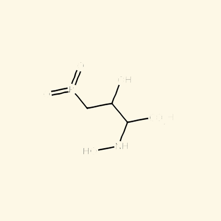 O=C(O)C(NO)C(O)CP(=O)=O